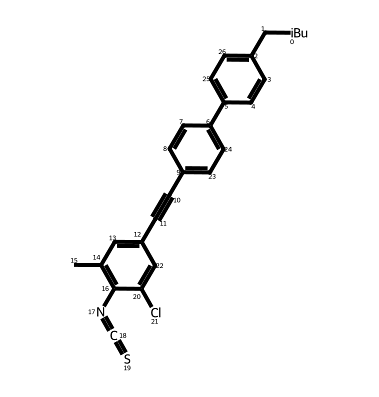 CCC(C)Cc1ccc(-c2ccc(C#Cc3cc(C)c(N=C=S)c(Cl)c3)cc2)cc1